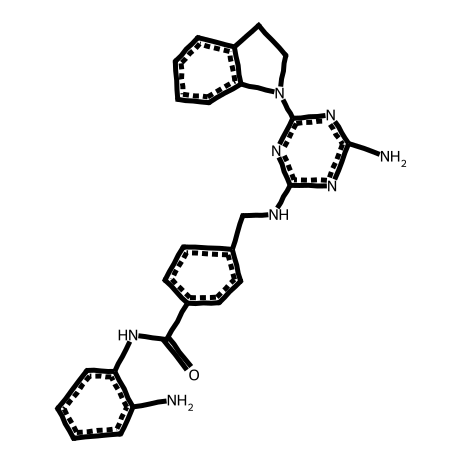 Nc1nc(NCc2ccc(C(=O)Nc3ccccc3N)cc2)nc(N2CCc3ccccc32)n1